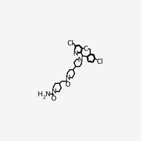 NC(=O)N1CCC(CC(=O)N2CCC(C3CCN(C4c5ccc(Cl)cc5CCc5cc(Cl)cnc54)CC3)CC2)CC1